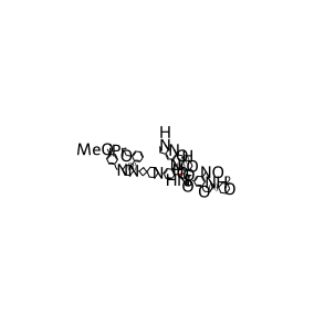 COc1ccc(CN2CCN(C3CC4(CCN(c5ccc(C(=O)NS(=O)(=O)c6cc7c(c([N+](=O)[O-])c6)N[C@H](C6CCOCC6)CO7)c(N6c7cc8cc[nH]c8nc7O[C@H]7COCC[C@@H]76)c5)CC4)C3)[C@H](c3ccccc3OC(C)C)C2)cc1